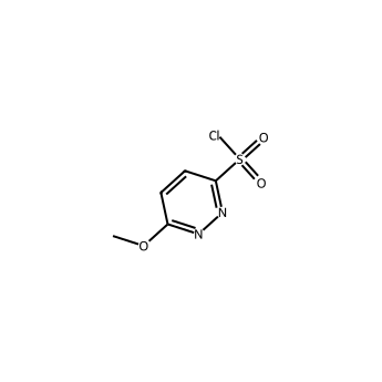 COc1ccc(S(=O)(=O)Cl)nn1